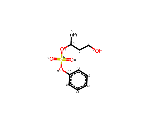 CCCC(CCO)OS(=O)(=O)Oc1ccccc1